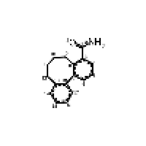 NC(=O)c1cccc2c1CCCCc1ccccc1-2